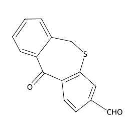 O=Cc1ccc2c(c1)SCc1ccccc1C2=O